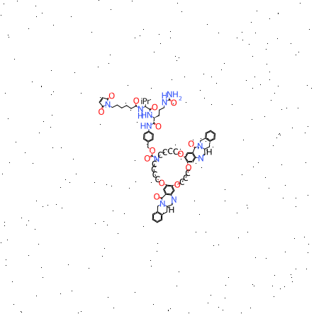 CC(C)[C@H](NC(=O)CCCCCN1C(=O)C=CC1=O)C(=O)N[C@@H](CCCNC(N)=O)C(=O)Nc1ccc(COC(=O)N2CCCCOc3cc4c(cc3OCCCOc3cc5c(cc3OCCCC2)C(=O)N2Cc3ccccc3C[C@H]2C=N5)N=C[C@@H]2Cc3ccccc3CN2C4=O)cc1